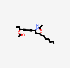 C=CC(C#CC#CC(CCCCCCCCC)NC(C)=O)OC(C)=O